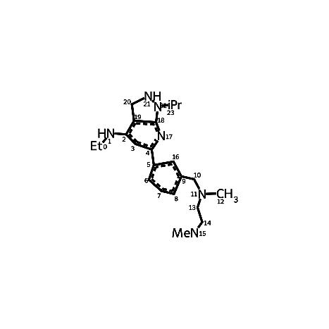 CCNc1cc(-c2cccc(CN(C)CCNC)c2)nc2c1CNN2C(C)C